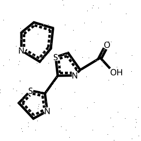 O=C(O)c1csc(-c2nccs2)n1.c1ccncc1